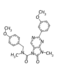 COc1ccc(CN(C)C(=O)n2c(=O)n(C)c3nc(-c4cccc(OC)c4)ncc32)cc1